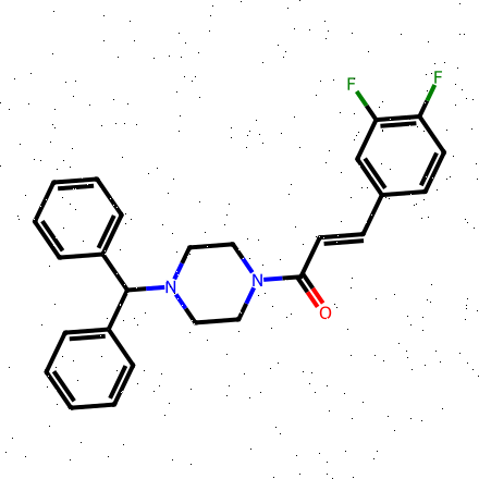 O=C(/C=C/c1ccc(F)c(F)c1)N1CCN(C(c2ccccc2)c2ccccc2)CC1